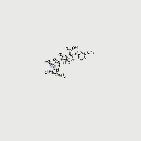 C[n+]1cccc(SC2=C(C(=O)O)N3C(=O)[C@@H](NC(=O)/C(=N\O)c4nc(N)sc4Cl)[C@H]3CC2)c1